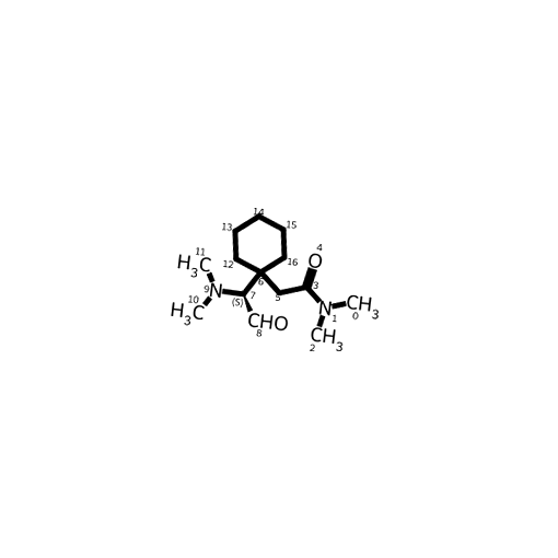 CN(C)C(=O)CC1([C@@H](C=O)N(C)C)CCCCC1